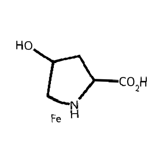 O=C(O)C1CC(O)CN1.[Fe]